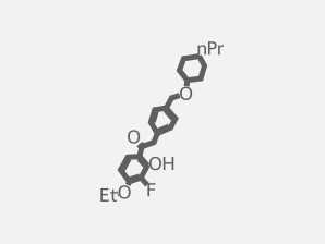 CCCC1CCC(OCc2ccc(CC(=O)c3ccc(OCC)c(F)c3O)cc2)CC1